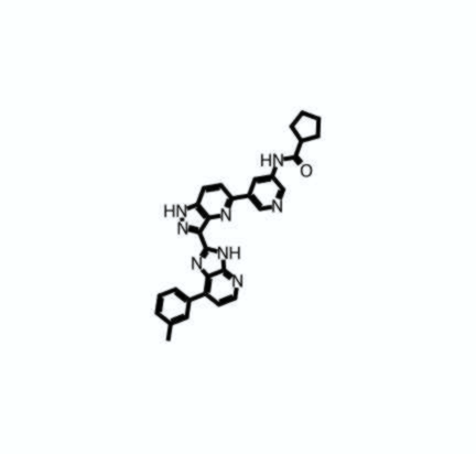 Cc1cccc(-c2ccnc3[nH]c(-c4n[nH]c5ccc(-c6cncc(NC(=O)C7CCCC7)c6)nc45)nc23)c1